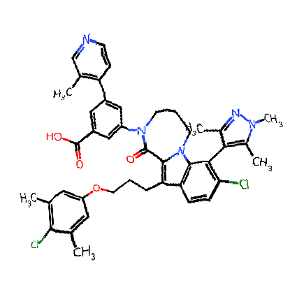 Cc1cnccc1-c1cc(C(=O)O)cc(N2CCCn3c(c(CCCOc4cc(C)c(Cl)c(C)c4)c4ccc(Cl)c(-c5c(C)nn(C)c5C)c43)C2=O)c1